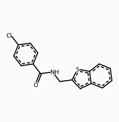 O=C(NCc1cc2ccccc2s1)c1ccc(Cl)cc1